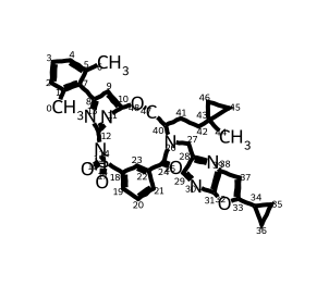 Cc1cccc(C)c1-c1cc2nc(n1)NS(=O)(=O)c1cccc(c1)C(=O)N(Cc1cnc3oc(C4CC4)cc3n1)C(CCC1(C)CC1)CO2